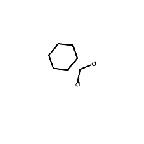 C1CCCCC1.ClCCl